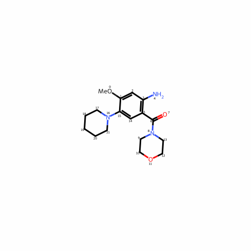 COc1cc(N)c(C(=O)N2CCOCC2)cc1N1CCCCC1